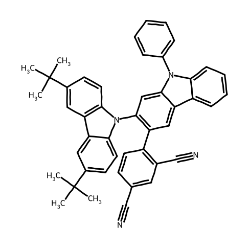 CC(C)(C)c1ccc2c(c1)c1cc(C(C)(C)C)ccc1n2-c1cc2c(cc1-c1ccc(C#N)cc1C#N)c1ccccc1n2-c1ccccc1